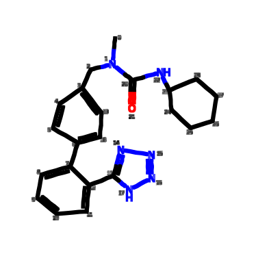 CN(Cc1ccc(-c2ccccc2-c2nnn[nH]2)cc1)C(=O)NC1CCCCC1